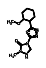 COC1CCCCC1c1nnc(N2CNN(C)C2=O)s1